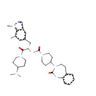 Cc1cc(C[C@@H](OC(=O)N2CCC(N3CCc4ccccc4NC3=O)CC2)C(=O)N2CCC(N(C)C)CC2)cc2cnn(C)c12